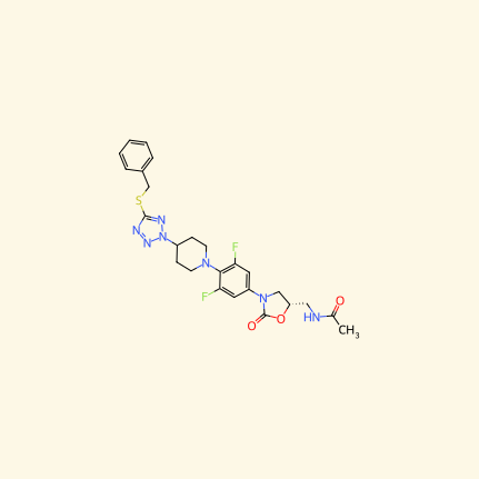 CC(=O)NC[C@H]1CN(c2cc(F)c(N3CCC(n4nnc(SCc5ccccc5)n4)CC3)c(F)c2)C(=O)O1